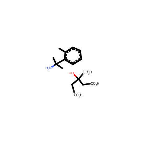 Cc1ccccc1C(C)(C)N.O=C(O)CC(O)(CC(=O)O)C(=O)O